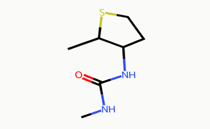 CNC(=O)NC1CCSC1C